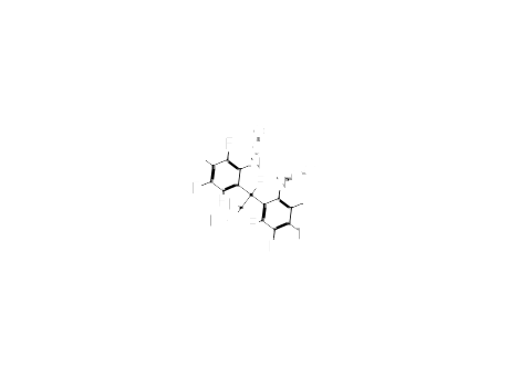 O=C=Nc1c(F)c(F)c(F)c(F)c1C(F)(c1c(F)c(F)c(F)c(F)c1N=C=O)C(F)(F)C(F)(F)F